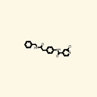 O=C(Cc1ccc(NC(=O)c2ccnc(Cl)c2)cc1)NCc1ccccc1